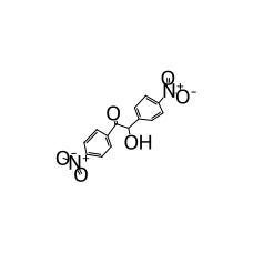 O=C(c1ccc([N+](=O)[O-])cc1)C(O)c1ccc([N+](=O)[O-])cc1